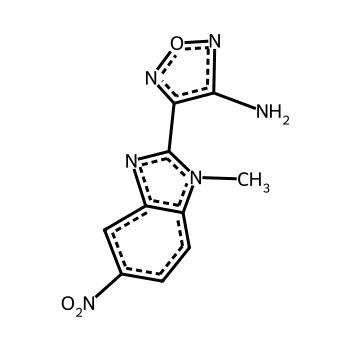 Cn1c(-c2nonc2N)nc2cc([N+](=O)[O-])ccc21